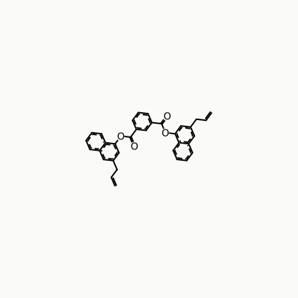 C=CCc1cc(OC(=O)c2cccc(C(=O)Oc3cc(CC=C)cc4ccccc34)c2)c2ccccc2c1